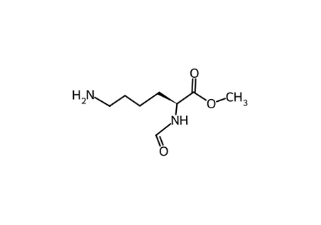 COC(=O)[C@H](CCCCN)NC=O